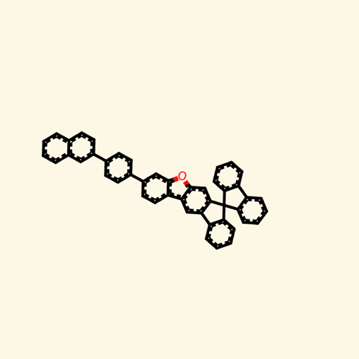 c1ccc2c(c1)-c1ccccc1C21c2ccccc2-c2cc3c(cc21)oc1cc(-c2ccc(-c4ccc5ccccc5c4)cc2)ccc13